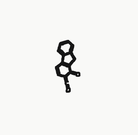 O=C=C1C=CC2=C(Cc3ccccc32)C1=O